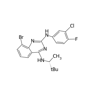 C[C@@H](Nc1nc(Nc2ccc(F)c(Cl)c2)nc2c(Br)cccc12)C(C)(C)C